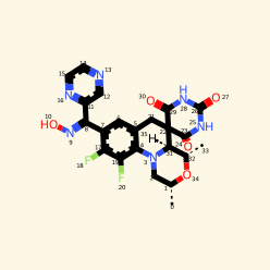 C[C@@H]1CN2c3c(cc(/C(=N/O)c4cnccn4)c(F)c3F)CC3(C(=O)NC(=O)NC3=O)[C@H]2[C@H](C)O1